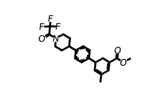 COC(=O)C1=CC(C)=CC(c2ccc(C3CCN(C(=O)C(F)(F)F)CC3)cc2)C1